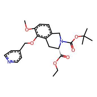 CCOC(=O)[C@@H]1Cc2c(ccc(OC)c2OCc2ccncc2)CN1C(=O)OC(C)(C)C